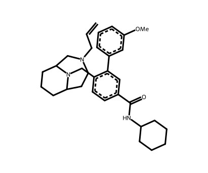 C=CCN1CCC2CCCC(C1)N2Cc1ccc(C(=O)NC2CCCCC2)cc1-c1cccc(OC)c1